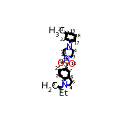 C=C(CC)N1CCc2cc(S(=O)(=O)N3CCN(c4cccc(C)c4)CC3)ccc21